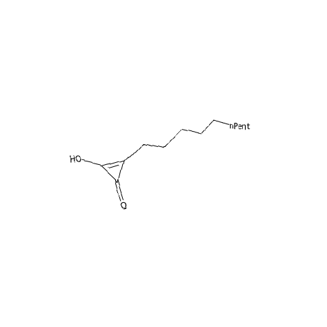 CCCCCCCCCCc1c(O)c1=O